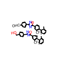 Cc1ccccc1-c1ccc(-c2nc(-c3ccc(C=O)cc3)no2)cc1C(F)(F)F.Cc1ccccc1-c1ccc(-c2nc(-c3ccc(CO)cc3)no2)cc1C(F)(F)F